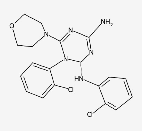 NC1=NC(Nc2ccccc2Cl)N(c2ccccc2Cl)C(N2CCOCC2)=N1